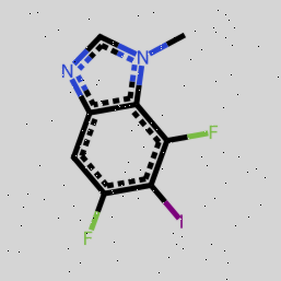 Cn1cnc2cc(F)c(I)c(F)c21